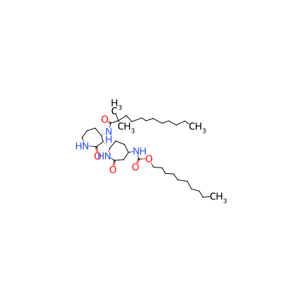 CCCCCCCCCCOC(=O)NC1CC[C@@H](C2C(=O)NCCC[C@@H]2NC(=O)C(C)(C)CCCCCCCCCC)NC(=O)C1